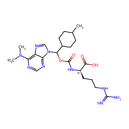 CC1CCC(C(OC(=O)N[C@H](CCCNC(=N)N)C(=O)O)n2cnc3c(N(C)C)ncnc32)CC1